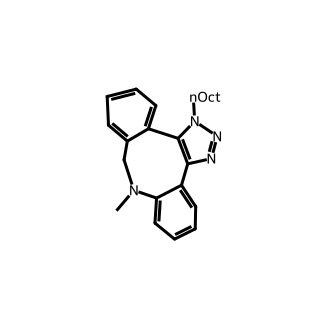 CCCCCCCCn1nnc2c1-c1ccccc1CN(C)c1ccccc1-2